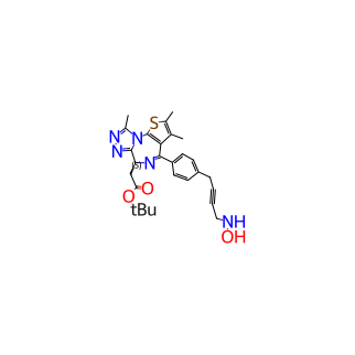 Cc1sc2c(c1C)C(c1ccc(CC#CCNO)cc1)=N[C@@H](CC(=O)OC(C)(C)C)c1nnc(C)n1-2